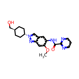 COc1cc2nn([C@H]3CC[C@H](CO)CC3)cc2cc1NC(=O)c1ncccn1